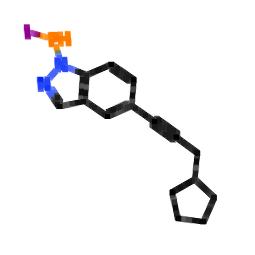 IPn1ncc2cc(C#CCC3CCCC3)ccc21